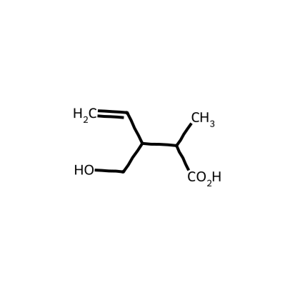 C=CC(CO)C(C)C(=O)O